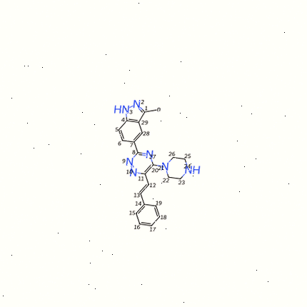 Cc1n[nH]c2ccc(-c3nnc(C=Cc4ccccc4)c(N4CCNCC4)n3)cc12